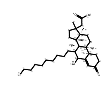 CC1(CC(=O)O)CC[C@H]2[C@@H]3C(CCCCCCCCCCl)C(O)C4=CC(=O)CC[C@]4(C)[C@@H]3CC[C@@]21C